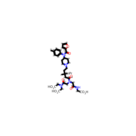 CCCC(C)(CCN1CCC(N(C(=O)c2ccco2)c2ccc(C)cc2)CC1)CC(=O)N(CC(=O)NCC(=O)O)CC(=O)N(CC(=O)O)CC(=O)O